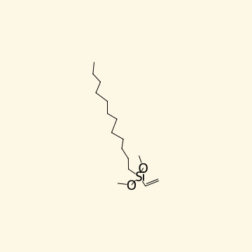 C=C[Si](CCCCCCCCCCCC)(OC)OC